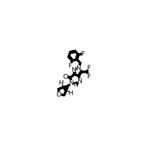 O=c1c2nn(Cc3c(F)cccc3F)c(C(F)F)c2nnn1C1[C@H]2COC[C@@H]12